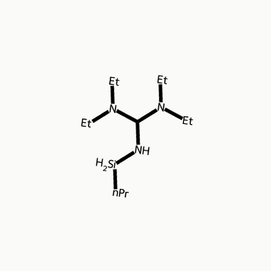 CCC[SiH2]NC(N(CC)CC)N(CC)CC